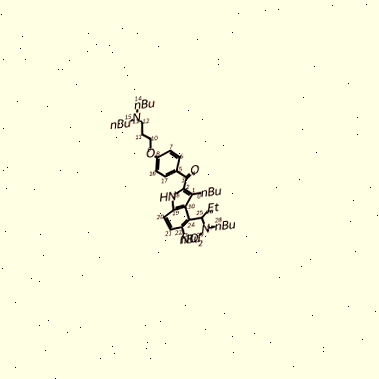 CCCCc1c(C(=O)c2ccc(OCCCN(CCCC)CCCC)cc2)[nH]c2ccc([N+](=O)[O-])c(C(CC)N(CCCC)CCCC)c12